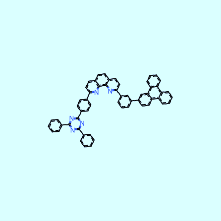 c1ccc(-c2nc(-c3ccccc3)nc(-c3ccc(-c4ccc5ccc6ccc(-c7cccc(-c8ccc9c%10ccccc%10c%10ccccc%10c9c8)c7)nc6c5n4)cc3)n2)cc1